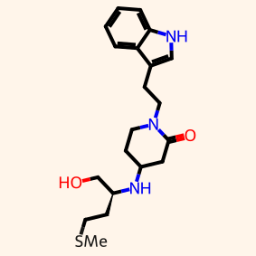 CSCC[C@@H](CO)NC1CCN(CCc2c[nH]c3ccccc23)C(=O)C1